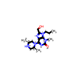 CCCn1c(CO)nc2c(N3C[C@@H](C)NC[C@@H]3C)nc(=O)n(C)c21